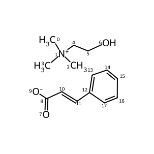 C[N+](C)(C)CCO.O=C([O-])C=Cc1ccccc1